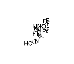 Cc1cn(-c2nc(Nc3cc(C(F)(F)F)cc(C(F)(F)F)c3)ncc2F)cc1CN1CCC(O)CC1